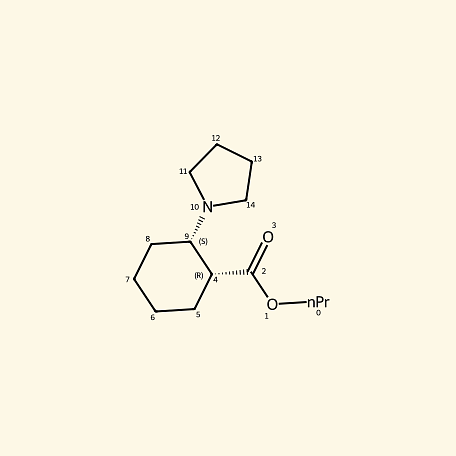 CCCOC(=O)[C@@H]1CCCC[C@@H]1N1CCCC1